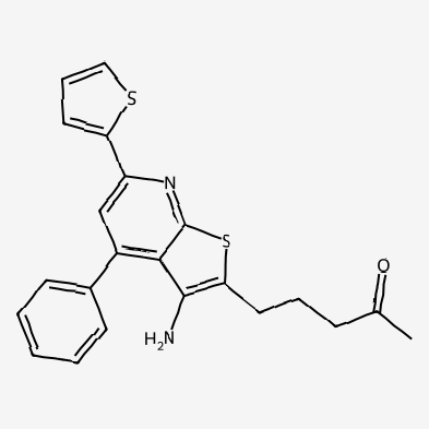 CC(=O)CCCc1sc2nc(-c3cccs3)cc(-c3ccccc3)c2c1N